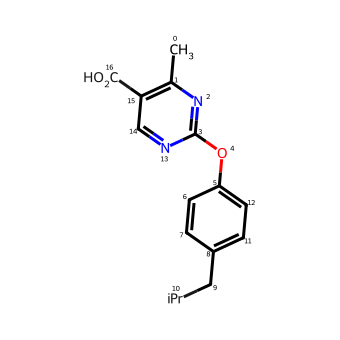 Cc1nc(Oc2ccc(CC(C)C)cc2)ncc1C(=O)O